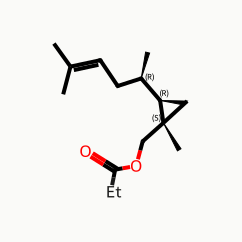 CCC(=O)OC[C@@]1(C)C[C@@H]1[C@H](C)CC=C(C)C